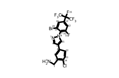 NCc1cc(-c2cnn(-c3c(F)cc(C(F)(C(F)(F)F)C(F)(F)F)cc3Br)c2)ccc1Cl